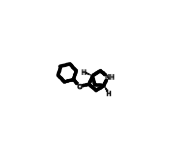 [CH]1CCC(OC2C[C@H]3C[C@@H]2CN3)CC1